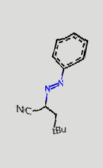 CC(C)(C)CC(C#N)N=Nc1ccccc1